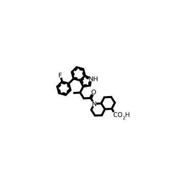 CC(CC(=O)N1CCCC2C(C(=O)O)CCCC21)c1c[nH]c2cccc(-c3ccccc3F)c12